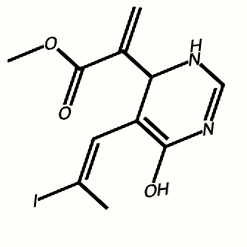 C=C(C(=O)OC)C1NC=NC(O)=C1/C=C(\C)I